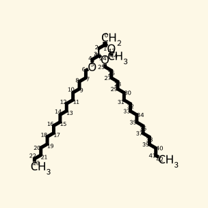 C=C(C[C@H](COCCCCCCCCCCCCCCCCCC)OCCCCCCCCCCCCCCCCCC)OC